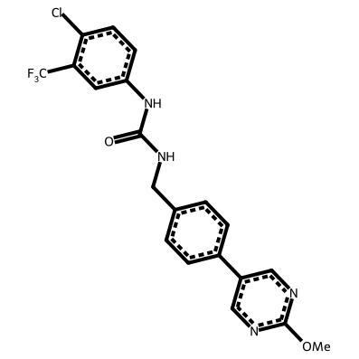 COc1ncc(-c2ccc(CNC(=O)Nc3ccc(Cl)c(C(F)(F)F)c3)cc2)cn1